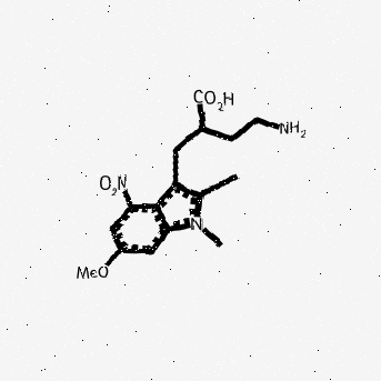 COc1cc([N+](=O)[O-])c2c(CC(CCN)C(=O)O)c(C)n(C)c2c1